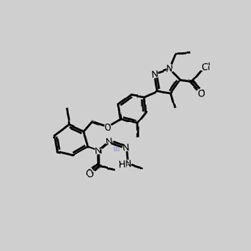 CCn1nc(-c2ccc(OCc3c(C)cccc3N(/N=N\NC)C(C)=O)c(C)c2)c(C)c1C(=O)Cl